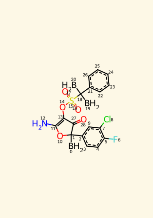 BC1(c2ccc(F)c(Cl)c2)OC(N)=C(OS(=O)(=O)C(B)(B)c2ccccc2)C1=O